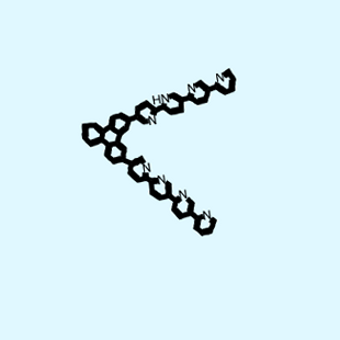 C1=CC(c2ccc(-c3ccc4c5ccccc5c5ccc(-c6ccc(-c7ccc(-c8ccc(-c9ccccn9)cn8)cn7)nc6)cc5c4c3)cn2)NC=C1c1ccc(-c2ccccn2)cn1